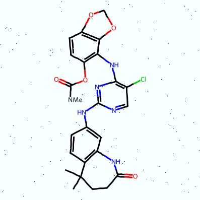 CNC(=O)Oc1ccc2c(c1Nc1nc(Nc3ccc4c(c3)NC(=O)CCC4(C)C)ncc1Cl)OCO2